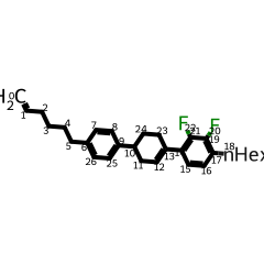 C=CCCCCc1ccc(C2CC=C(c3ccc(CCCCCC)c(F)c3F)CC2)cc1